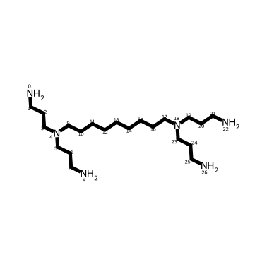 NCCCN(CCCN)CCCCCCCCCN(CCCN)CCCN